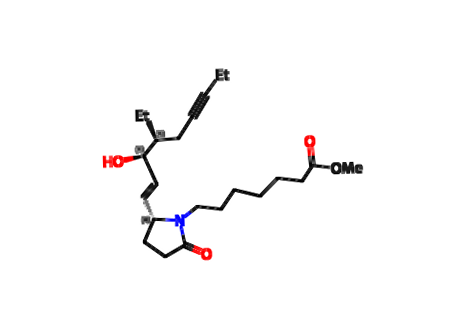 CCC#CC[C@H](CC)[C@H](O)C=C[C@H]1CCC(=O)N1CCCCCCC(=O)OC